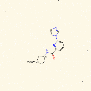 CO[C@@H]1CC[C@@H](NC(=O)c2cccc(-n3ccnc3)n2)C1